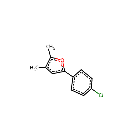 Cc1cc(-c2ccc(Cl)cc2)oc1C